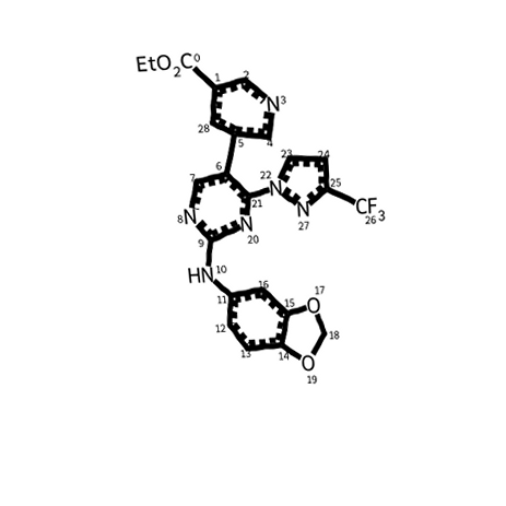 CCOC(=O)c1cncc(-c2cnc(Nc3ccc4c(c3)OCO4)nc2-n2ccc(C(F)(F)F)n2)c1